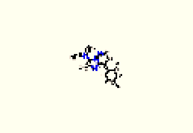 CCCN(CCC)c1c(CC)nc2c(-c3ccc(C)cc3C)ccnn12